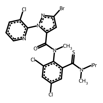 CC(C)N(C)C(=S)c1cc(Cl)cc(Cl)c1N(C)C(=O)c1cc(Br)nn1-c1ncccc1Cl